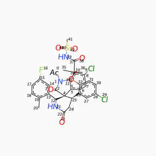 CC(=O)N1C(=O)[C@@]2(c3ccc(Cl)cc31)C(c1cc(F)ccc1C)NC(=O)C[C@@H]2c1cc(Cl)ccc1OC(C)(C)C(=O)NS(C)(=O)=O